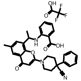 Cc1cc(C(C)Nc2ccccc2C(=O)O)c2oc(N3CCC(C#N)(c4ccccc4)CC3)cc(=O)c2c1.O=C(O)C(F)(F)F